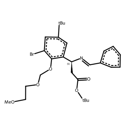 COCCOCOc1c(Br)cc(C(C)(C)C)cc1[C@H](CC(=O)OC(C)(C)C)N=Cc1ccccc1